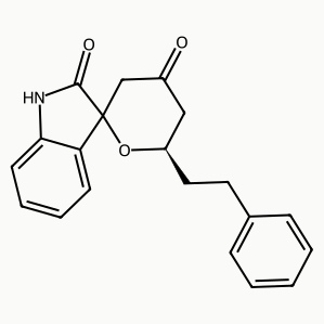 O=C1C[C@@H](CCc2ccccc2)OC2(C1)C(=O)Nc1ccccc12